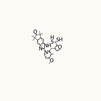 COc1cc[n+](-c2nc3cc4c(cc3[nH]2)C(C)(C)C(=O)C4(C)C)c(Cc2ccoc2C(S)S)c1C